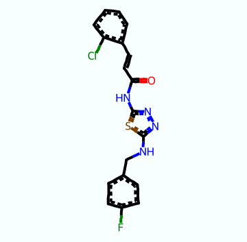 O=C(C=Cc1ccccc1Cl)Nc1nnc(NCc2ccc(F)cc2)s1